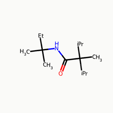 CCC(C)(C)NC(=O)C(C)(C(C)C)C(C)C